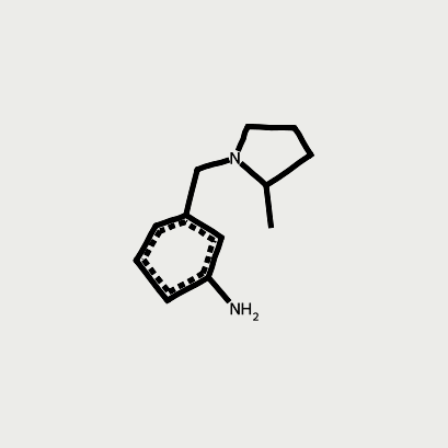 CC1CCCN1Cc1cccc(N)c1